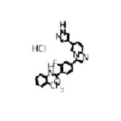 Cl.O=C(Nc1ccccc1C(F)(F)F)c1ccc(-c2cnc3ccc(-c4cn[nH]c4)cn23)cc1F